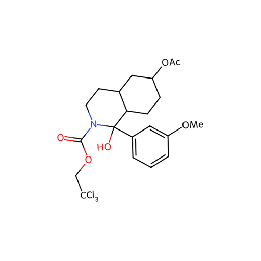 COc1cccc(C2(O)C3CCC(OC(C)=O)CC3CCN2C(=O)OCC(Cl)(Cl)Cl)c1